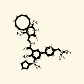 Cc1c(C(=O)NCC2C(=O)NC(C)C3(CCCCCCCCC3)C2C)cc(-c2ccc(CN(C)C)nc2)cc1N(C)C1CCCC1